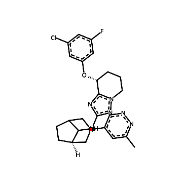 Cc1cc(N2CC3CC[C@H](C2)C3Nc2nc3n(n2)CCC[C@H]3Oc2cc(F)cc(Cl)c2)cnn1